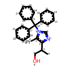 CC(C)c1c(C(C)CO)ncn1C(c1ccccc1)(c1ccccc1)c1ccccc1